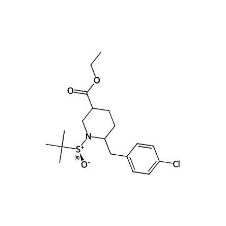 CCOC(=O)C1CCC(Cc2ccc(Cl)cc2)N([S@@+]([O-])C(C)(C)C)C1